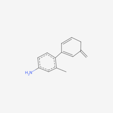 C=C1C=C(c2ccc(N)cc2C)C=CC1